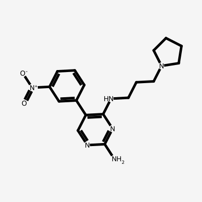 Nc1ncc(-c2cccc([N+](=O)[O-])c2)c(NCCCN2CCCC2)n1